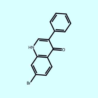 O=c1c(-c2ccccc2)c[nH]c2cc(Br)ccc12